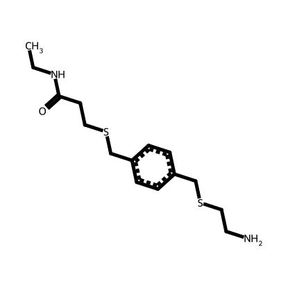 CCNC(=O)CCSCc1ccc(CSCCN)cc1